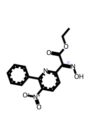 CCOC(=O)/C(=N/O)c1ccc([N+](=O)[O-])c(-c2ccccc2)n1